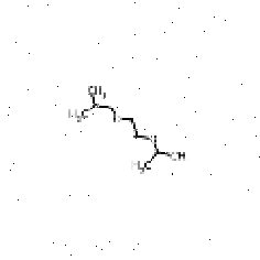 CC(C)COC[CH]OC(C)C